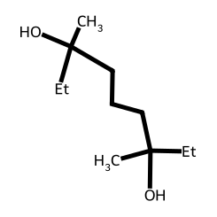 CCC(C)(O)CCCC(C)(O)CC